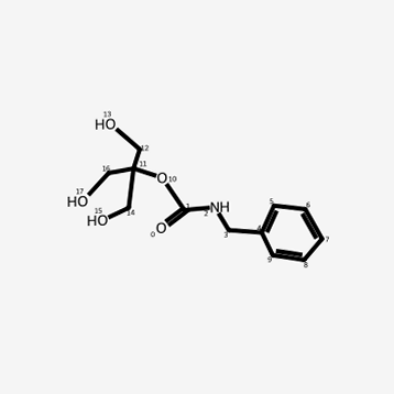 O=C(NCc1ccccc1)OC(CO)(CO)CO